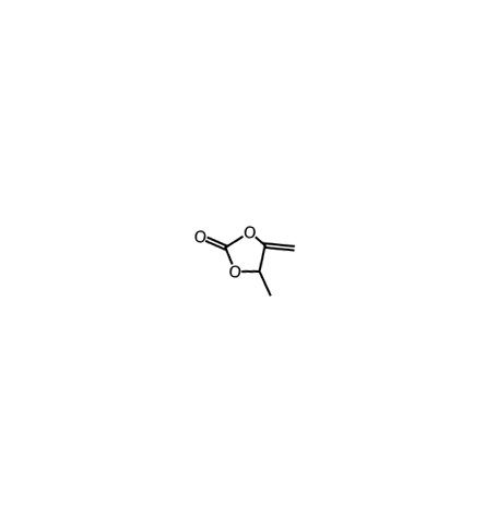 C=C1OC(=O)OC1C